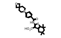 CC1(C)Cc2c(sc(NC(=O)c3ccc(N4CCC5(CC4)COC5)cc3)c2C(=O)O)C(C)(C)C1